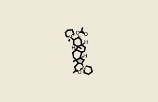 CC(=O)CC1C([N+]2(C)CCCCC2)C[C@H]2C3CC[C@H]4C[C@@H](OC(C)=O)C([N+]5(C)CCCCC5)CC4(C)[C@H]3CCC12C